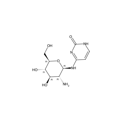 N[C@@H]1[C@@H](O)[C@H](O)[C@@H](CO)O[C@H]1Nc1cc[nH]c(=O)n1